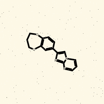 c1cnc2nc(-c3ccc4c(c3)OCCCO4)cn2c1